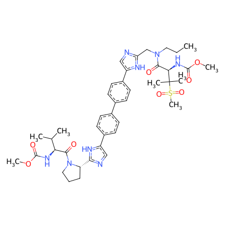 CCCN(Cc1ncc(-c2ccc(-c3ccc(-c4cnc([C@@H]5CCCN5C(=O)[C@@H](NC(=O)OC)C(C)C)[nH]4)cc3)cc2)[nH]1)C(=O)[C@@H](NC(=O)OC)C(C)(C)S(C)(=O)=O